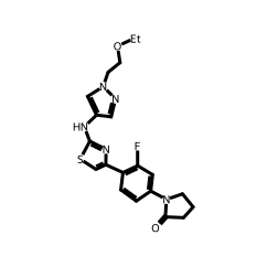 CCOCCn1cc(Nc2nc(-c3ccc(N4CCCC4=O)cc3F)cs2)cn1